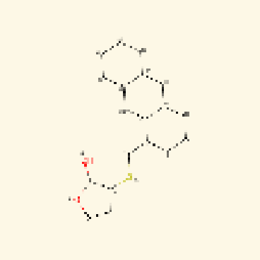 OC1OCCC1SCC1CCCC2CC3CCCCC3CC12